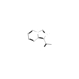 CC(=O)c1ncn2ccccc12